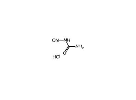 Cl.NC(=O)NN=O